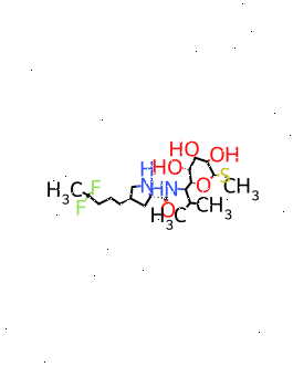 CS[C@H]1O[C@H]([C@H](NC(=O)[C@@H]2C[C@@H](CCCC(C)(F)F)CN2)C(C)C)[C@H](O)[C@H](O)[C@H]1O